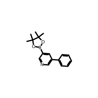 CC1(C)OB(c2cncc(-c3ccccc3)c2)OC1(C)C